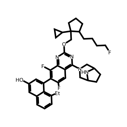 CCc1cccc2cc(O)cc(-c3c(F)cc4c(N5CC6CCC(C5)N6)nc(OCC5(C6CC6)CCCC5CCCCF)nc4c3F)c12